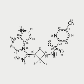 CC1(C)[C@@H](c2nnc3cnc4[nH]ccc4n23)C[C@H]1NS(=O)(=O)c1ccc(C#N)cn1